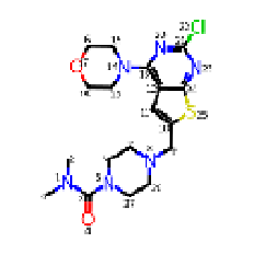 CN(C)C(=O)N1CCN(Cc2cc3c(N4CCOCC4)nc(Cl)nc3s2)CC1